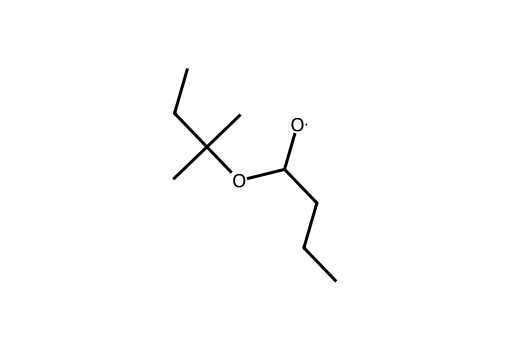 CCCC([O])OC(C)(C)CC